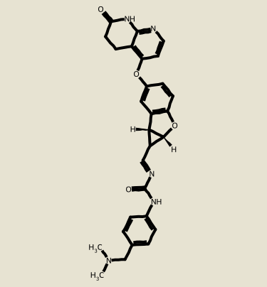 CN(C)Cc1ccc(NC(=O)/N=C/C2[C@H]3Oc4ccc(Oc5ccnc6c5CCC(=O)N6)cc4[C@@H]23)cc1